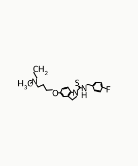 C=CCN(C)CCCCOc1ccc2c(c1)CCN2C(=S)NCc1ccc(F)cc1